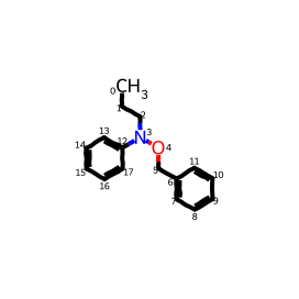 CCCN(OCc1ccccc1)c1ccccc1